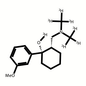 [2H]O[C@@]1(c2cccc(OC)c2)CCCC[C@H]1CN(C([2H])([2H])[2H])C([2H])([2H])[2H]